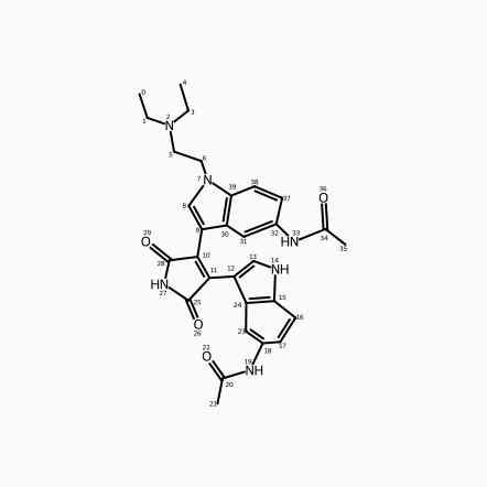 CCN(CC)CCn1cc(C2=C(c3c[nH]c4ccc(NC(C)=O)cc34)C(=O)NC2=O)c2cc(NC(C)=O)ccc21